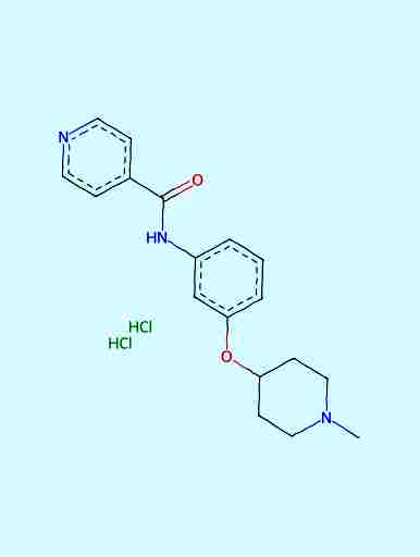 CN1CCC(Oc2cccc(NC(=O)c3ccncc3)c2)CC1.Cl.Cl